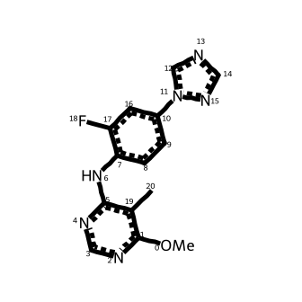 COc1ncnc(Nc2ccc(-n3cncn3)cc2F)c1C